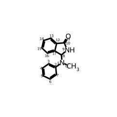 CN(c1ccccc1)C1NC(=O)c2ccccc21